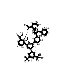 COc1c(-c2cc(-c3cc(C(C)(C)C)cc(C(C)(C)C)c3)cc(-c3cccc(-c4nc5c(C(C)C)cccn5c4-c4ccccc4)c3)n2)cccc1C(C)C